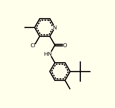 Cc1ccc(NC(=O)c2nccc(C)c2Cl)cc1C(C)(C)C